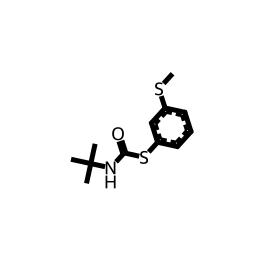 CSc1cccc(SC(=O)NC(C)(C)C)c1